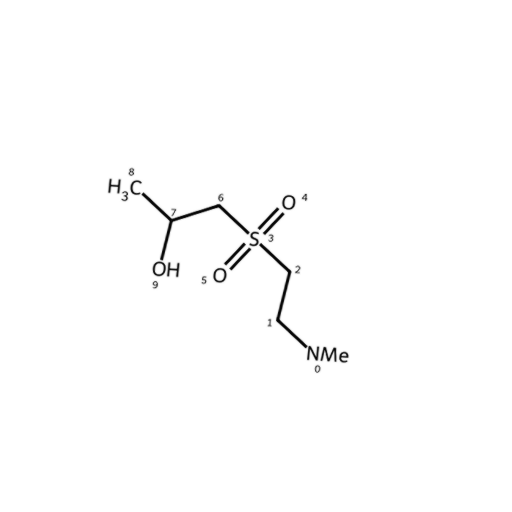 CNCCS(=O)(=O)CC(C)O